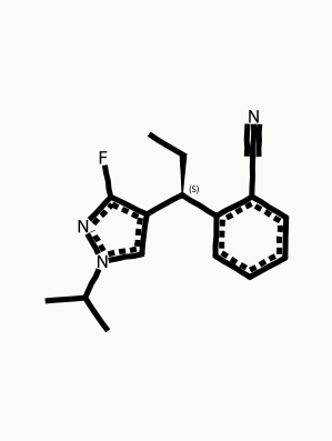 CC[C@@H](c1ccccc1C#N)c1cn(C(C)C)nc1F